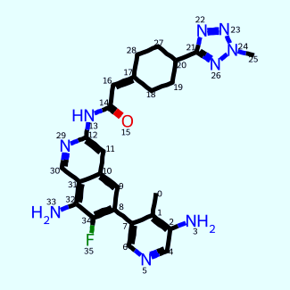 Cc1c(N)cncc1-c1cc2cc(NC(=O)C=C3CCC(c4nnn(C)n4)CC3)ncc2c(N)c1F